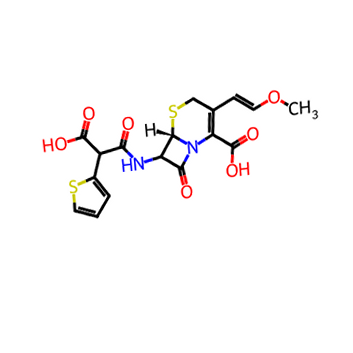 COC=CC1=C(C(=O)O)N2C(=O)C(NC(=O)C(C(=O)O)c3cccs3)[C@@H]2SC1